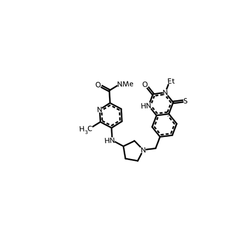 CCn1c(=O)[nH]c2cc(CN3CCC(Nc4ccc(C(=O)NC)nc4C)C3)ccc2c1=S